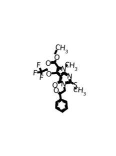 CCOC(=O)c1c(OCC(F)(F)F)c2c(=O)n(CC(=O)c3ccccc3)c(SC)nc2n1C